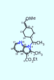 CCOC(=O)c1c(C)n(C(C)C2CCC(=COC)CC2)c2ncccc12